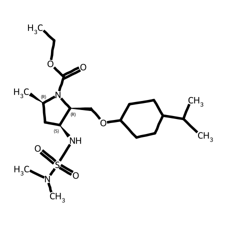 CCOC(=O)N1[C@H](C)C[C@H](NS(=O)(=O)N(C)C)[C@@H]1COC1CCC(C(C)C)CC1